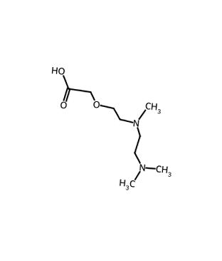 CN(C)CCN(C)CCOCC(=O)O